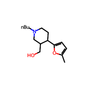 CCCCN1CCC(c2ccc(C)o2)C(CO)C1